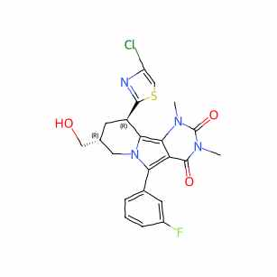 Cn1c(=O)c2c(-c3cccc(F)c3)n3c(c2n(C)c1=O)[C@H](c1nc(Cl)cs1)C[C@@H](CO)C3